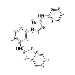 c1ccc(Nc2ncn(-c3ccnc(NC4Cc5ccccc5C4)c3)n2)cc1